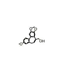 COc1ccc2c(c1)CC=C(CO)c1cc3c(cc1-2)OCO3